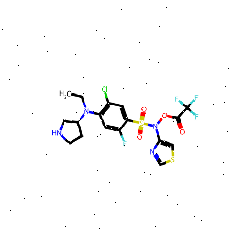 CCN(c1cc(F)c(S(=O)(=O)N(OC(=O)C(F)(F)F)c2cscn2)cc1Cl)[C@H]1CCNC1